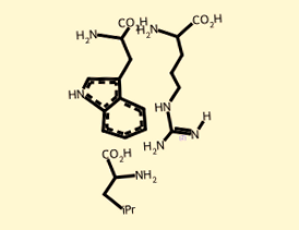 CC(C)CC(N)C(=O)O.NC(Cc1c[nH]c2ccccc12)C(=O)O.[H]/N=C(/N)NCCCC(N)C(=O)O